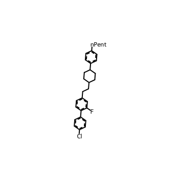 CCCCCc1ccc(C2CCC(CCc3ccc(-c4ccc(Cl)cc4)c(F)c3)CC2)cc1